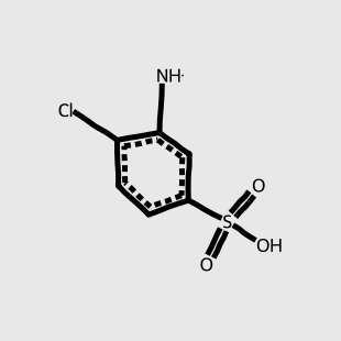 [NH]c1cc(S(=O)(=O)O)ccc1Cl